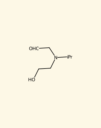 CC(C)N(CC=O)CCO